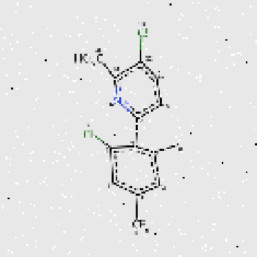 Cc1cc(C(F)(F)F)cc(Cl)c1-c1ccc(Cl)c(C(=O)O)n1